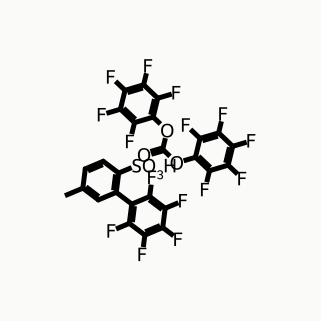 Cc1ccc(S(=O)(=O)O)c(-c2c(F)c(F)c(F)c(F)c2F)c1.O=C(Oc1c(F)c(F)c(F)c(F)c1F)Oc1c(F)c(F)c(F)c(F)c1F